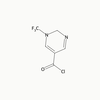 O=C(Cl)C1=CN(C(F)(F)F)CN=C1